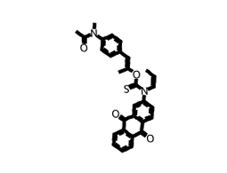 C/C=C\N(C(=S)O/C(C)=C/c1ccc(N(C)C(C)=O)cc1)c1ccc2c(c1)C(=O)c1ccccc1C2=O